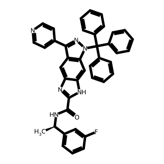 C[C@@H](NC(=O)c1nc2cc3c(-c4ccncc4)nn(C(c4ccccc4)(c4ccccc4)c4ccccc4)c3cc2[nH]1)c1cccc(F)c1